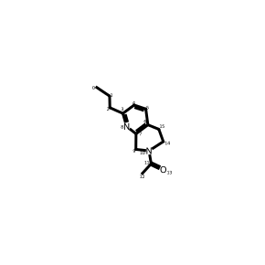 CCCc1ccc2c(n1)CN(C(C)=O)CC2